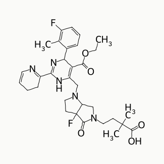 CCOC(=O)C1=C(CN2CCC3(F)C(=O)N(CCC(C)(C)C(=O)O)CC23)NC(C2=NC=CCC2)=NC1c1cccc(F)c1C